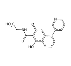 O=C(O)CNC(=O)c1c(O)c2cccc(-c3cccnc3)c2sc1=O